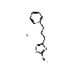 Nc1nc(CCC[n+]2ccccc2)cs1.[Br-]